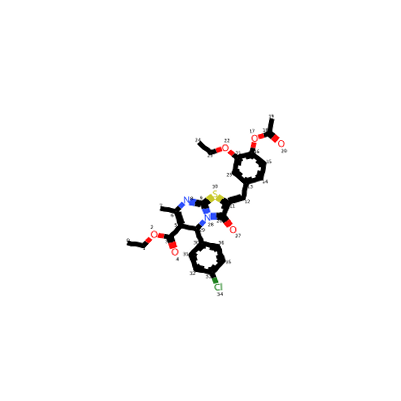 CCOC(=O)C1=C(C)N=c2sc(=Cc3ccc(OC(C)=O)c(OCC)c3)c(=O)n2C1c1ccc(Cl)cc1